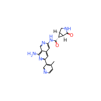 Cc1ccncc1-c1cc2cc(NC(=O)[C@@H]3[C@H]4CNC(=O)[C@H]43)ncc2c(N)n1